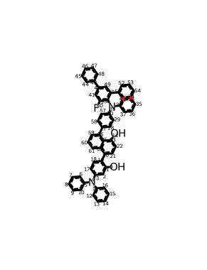 Oc1cc(N(c2ccccc2)c2ccccc2)ccc1-c1ccc(O)c2c(-c3ccc(N(c4ccccc4)c4c(F)cc(-c5ccccc5)cc4-c4ccccc4)cc3)cccc12